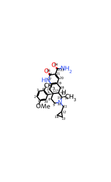 COc1ccc(C)c([C@]23CCN(CC4CC4)[C@H](C)[C@@H]2Cc2cc(C(N)=O)c(=O)[nH]c2C3)c1